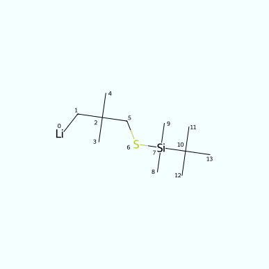 [Li][CH2]C(C)(C)CS[Si](C)(C)C(C)(C)C